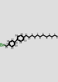 CCCCCCCCCCCCc1ccc(-c2ccc(CBr)cc2)cc1